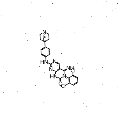 N=c1c2cnc(Nc3ccc(C45CCN(CC4)CC5)cc3)nc2[nH]c(=O)n1-c1c(Cl)cccc1Cl